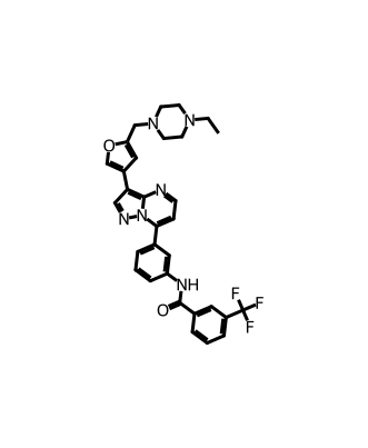 CCN1CCN(Cc2cc(-c3cnn4c(-c5cccc(NC(=O)c6cccc(C(F)(F)F)c6)c5)ccnc34)co2)CC1